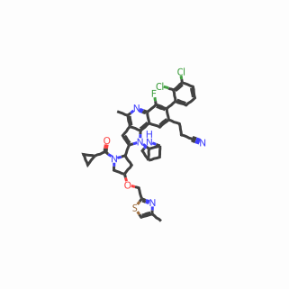 Cc1csc(COC2CC(c3cc4c(C)nc5c(F)c(-c6cccc(Cl)c6Cl)c(CCC#N)cc5c4n3C3C4CNC3C4)N(C(=O)C3CC3)C2)n1